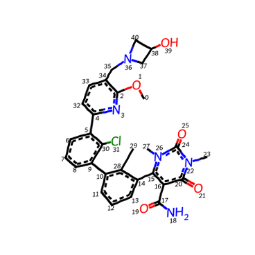 COc1nc(-c2cccc(-c3cccc(-c4c(C(N)=O)c(=O)n(C)c(=O)n4C)c3C)c2Cl)ccc1CN1CC(O)C1